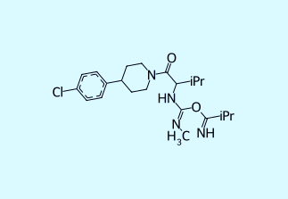 C/N=C(/NC(C(=O)N1CCC(c2ccc(Cl)cc2)CC1)C(C)C)OC(=N)C(C)C